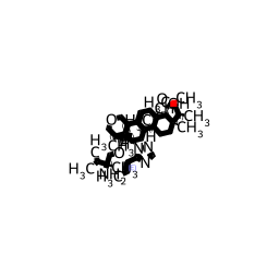 C/C=C/c1ncnn1[C@@H]1C[C@@]23COC[C@](C)([C@@H]2CC[C@H]2C3=CC[C@@]3(C)[C@H](C(=O)O)[C@@](C)([C@H](C)C(C)C)CC[C@]23C)[C@H]1OC[C@](C)(N)C(C)C